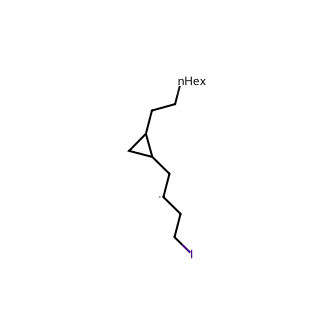 CCCCCCCCC1CC1C[CH]CCI